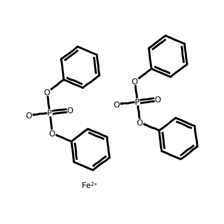 O=P([O-])(Oc1ccccc1)Oc1ccccc1.O=P([O-])(Oc1ccccc1)Oc1ccccc1.[Fe+2]